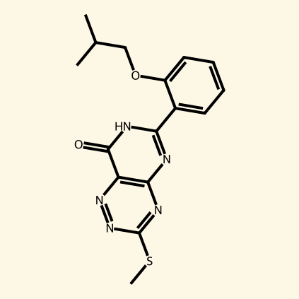 CSc1nnc2c(=O)[nH]c(-c3ccccc3OCC(C)C)nc2n1